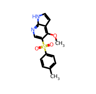 COc1c(S(=O)(=O)c2ccc(C)cc2)cnc2[nH]ccc12